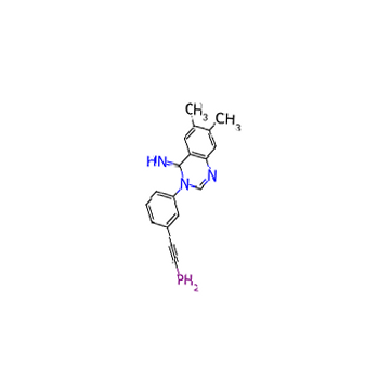 Cc1cc2ncn(-c3cccc(C#CP)c3)c(=N)c2cc1C